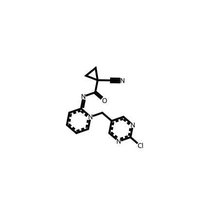 N#CC1(C(=O)N=c2ccccn2Cc2cnc(Cl)nc2)CC1